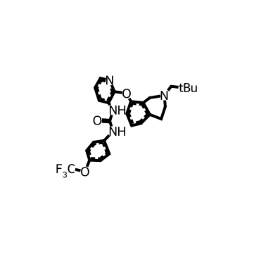 CC(C)(C)CN1CCc2cccc(Oc3ncccc3NC(=O)Nc3ccc(OC(F)(F)F)cc3)c2C1